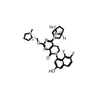 CN1CCC[C@H]1COc1nc2c(c(N3C[C@H]4CC[C@@H](C3)N4)n1)CCN(c1cc(O)cc3ccc(F)c(F)c13)C2=O